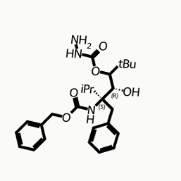 CC(C)[C@](Cc1ccccc1)(NC(=O)OCc1ccccc1)[C@@H](O)C(OC(=O)NN)C(C)(C)C